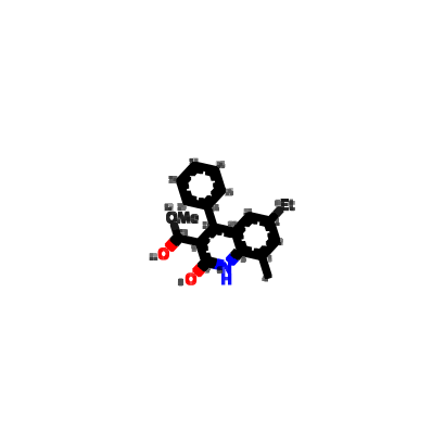 CCc1cc(C)c2[nH]c(=O)c(C(=O)OC)c(-c3ccccc3)c2c1